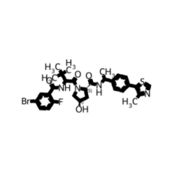 Cc1ncsc1-c1ccc(C(C)NC(=O)[C@@H]2C[C@@H](O)CN2C(=O)C(NC(=O)c2cc(Br)ccc2F)C(C)(C)C)cc1